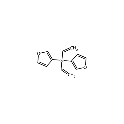 C=C[Si](C=C)(c1ccoc1)c1ccoc1